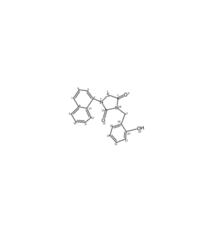 O=c1sn(-c2cccc3ccccc23)c(=O)n1Cc1ccccc1O